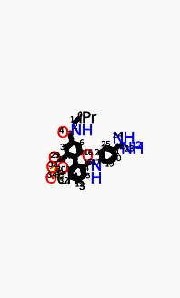 CC(C)CNC(=O)c1ccc(-c2ccccc2C(=O)Nc2ccc(C(=N)N)cc2)c(C(=O)OS(C)(=O)=O)c1